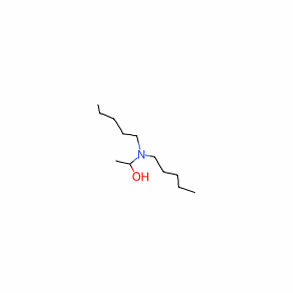 CCCCCN(CCCCC)C(C)O